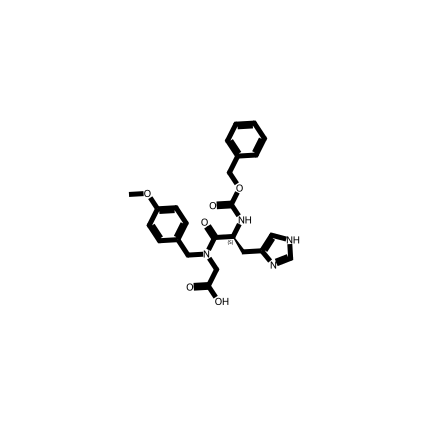 COc1ccc(CN(CC(=O)O)C(=O)[C@H](Cc2c[nH]cn2)NC(=O)OCc2ccccc2)cc1